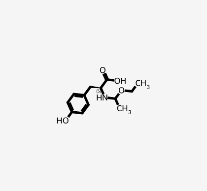 CCOC(C)N[C@@H](Cc1ccc(O)cc1)C(=O)O